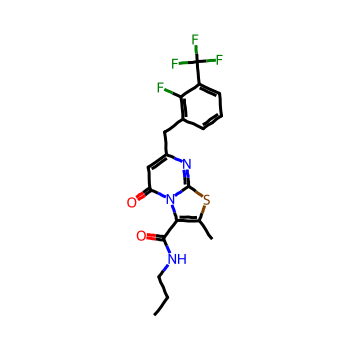 CCCNC(=O)c1c(C)sc2nc(Cc3cccc(C(F)(F)F)c3F)cc(=O)n12